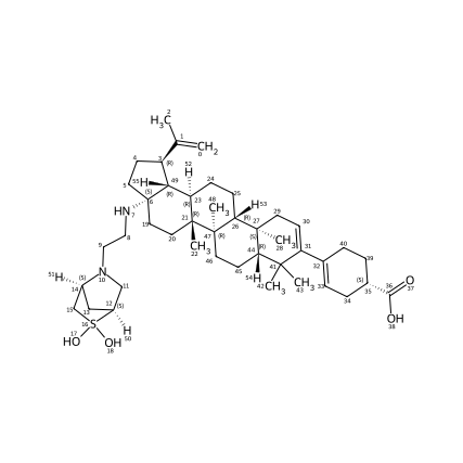 C=C(C)[C@@H]1CC[C@]2(NCCN3C[C@@H]4C[C@H]3CS4(O)O)CC[C@]3(C)[C@H](CC[C@@H]4[C@@]5(C)CC=C(C6=CC[C@@H](C(=O)O)CC6)C(C)(C)[C@@H]5CC[C@]43C)[C@@H]12